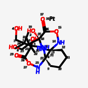 CC(C)(CO)[C@]1(O)N[C@]2(CCCC[C@@]23NOC(=O)[C@](O)(C(C)(C)CO)N3)NOC1=O.[Pt]